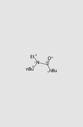 [CH2]CN(CCCC)C(=O)CCCC